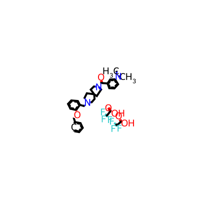 CN(C)c1cccc(C(=O)N2CCC3(CCN(Cc4ccccc4OCc4ccccc4)CC3)CC2)c1.O=C(O)C(F)(F)F.O=C(O)C(F)(F)F